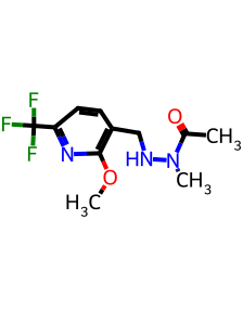 COc1nc(C(F)(F)F)ccc1CNN(C)C(C)=O